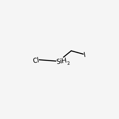 Cl[SiH2]CI